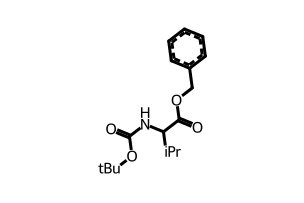 CC(C)C(NC(=O)OC(C)(C)C)C(=O)OCc1ccccc1